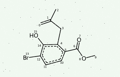 C=C(C)Cc1c(C(=O)OC)ccc(Br)c1O